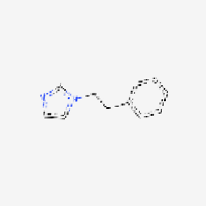 [c]1nccn1CCc1ccccc1